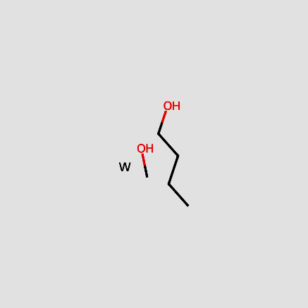 CCCCO.CO.[W]